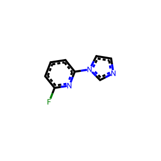 Fc1cccc(-n2ccnc2)n1